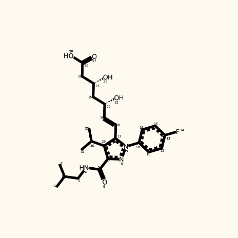 CC(C)CNC(=O)c1nn(-c2ccc(F)cc2)c(/C=C/[C@@H](O)C[C@@H](O)CC(=O)O)c1C(C)C